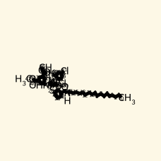 CCCCCCCCCCCCCCCCCCNC(=O)c1cccc(Sc2c(Nc3cc(C(=O)OC)cc(C(=O)OC)c3)[nH]n(-c3c(Cl)cc(Cl)cc3Cl)c2=O)c1